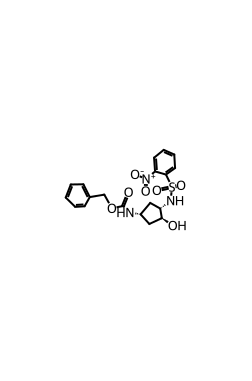 O=C(N[C@@H]1C[C@H](NS(=O)(=O)c2ccccc2[N+](=O)[O-])[C@@H](O)C1)OCc1ccccc1